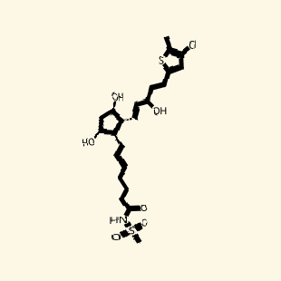 Cc1sc(CCC(O)C=C[C@@H]2[C@@H](CC=CCCCC(=O)NS(C)(=O)=O)[C@@H](O)C[C@H]2O)cc1Cl